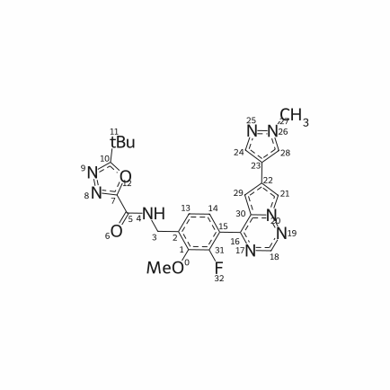 COc1c(CNC(=O)c2nnc(C(C)(C)C)o2)ccc(-c2ncnn3cc(-c4cnn(C)c4)cc23)c1F